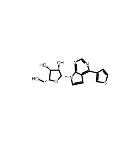 OC[C@H]1O[C@@H](n2ccc3c(-c4ccsc4)ncnc32)[C@H](O)[C@@H]1O